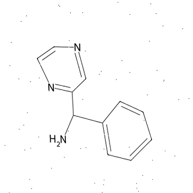 NC(c1ccccc1)c1cnccn1